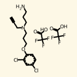 C#CCN(CCCN)CCCOc1ccc(Cl)cc1Cl.O=C(O)C(F)(F)F.O=C(O)C(F)(F)F